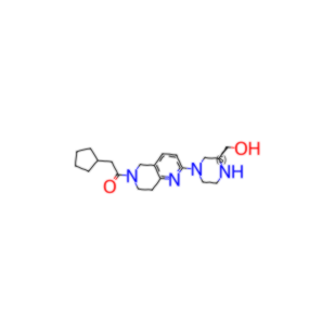 O=C(CC1CCCC1)N1CCc2nc(N3CCN[C@H](CO)C3)ccc2C1